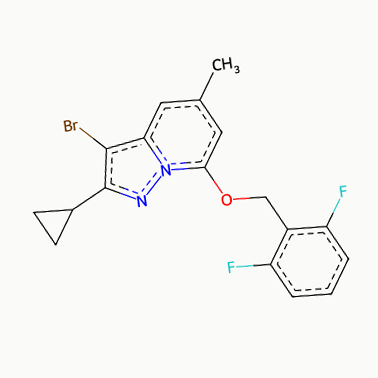 Cc1cc(OCc2c(F)cccc2F)n2nc(C3CC3)c(Br)c2c1